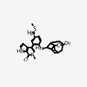 CSNc1ccc(NC2C3CC4CC5(O)CC2C3(C4)C5)c(-c2cn(C)c(=O)c3[nH]ccc23)c1